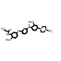 C=CC(=O)Nc1cc(Oc2cccc(Nc3ccc(N4CCN(C)CC4)cc3OC)n2)ccc1OC